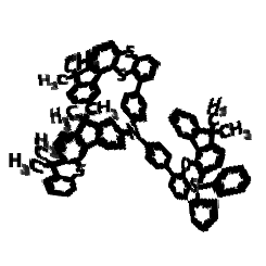 CC1(C)c2ccccc2Sc2c1ccc1c2-c2ccc(N(c3ccc(-c4cccc5c4Oc4c(ccc6c4-c4ccccc4C6(C)C)[Si]5(c4ccccc4)c4ccccc4)cc3)c3ccc(-c4cccc5c4Sc4c(ccc6c4-c4ccccc4C6(C)C)S5)cc3)cc2C1(C)C